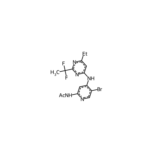 CCc1cc(Nc2cc(NC(C)=O)ncc2Br)nc(C(C)(F)F)n1